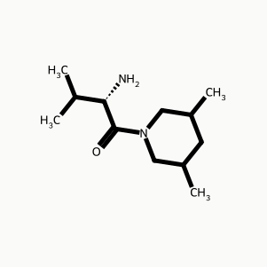 CC1CC(C)CN(C(=O)[C@@H](N)C(C)C)C1